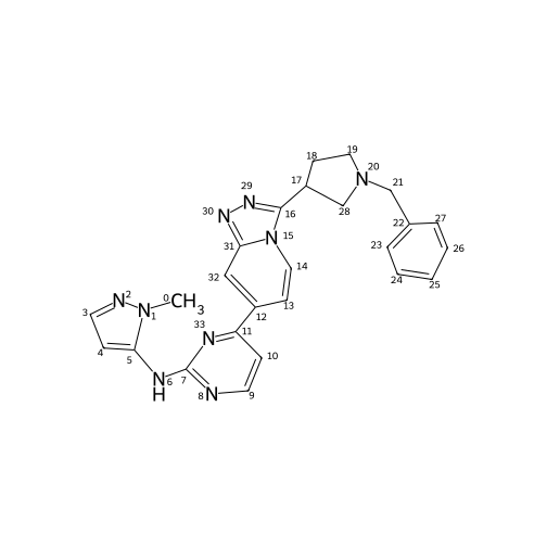 Cn1nccc1Nc1nccc(-c2ccn3c(C4CCN(Cc5ccccc5)C4)nnc3c2)n1